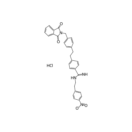 Cl.N=C(NCCc1ccc([N+](=O)[O-])cc1)c1ccc(CCc2ccc(CN3C(=O)c4ccccc4C3=O)cc2)cc1